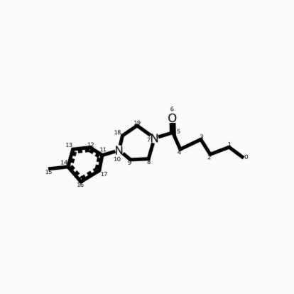 CCCCCC(=O)N1CCN(c2ccc(C)cc2)CC1